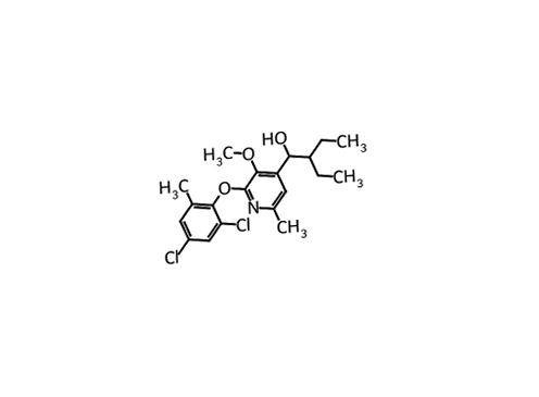 CCC(CC)C(O)c1cc(C)nc(Oc2c(C)cc(Cl)cc2Cl)c1OC